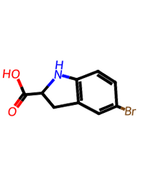 O=C(O)C1Cc2cc(Br)ccc2N1